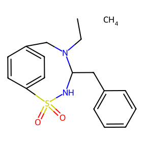 C.CCN1Cc2ccc(cc2)S(=O)(=O)NC1Cc1ccccc1